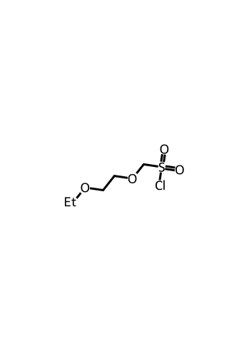 CCOCCOCS(=O)(=O)Cl